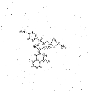 COc1ccc(S(=O)(=O)N(C[C@H](O)[C@H](Cc2ccccc2)NC(=O)O)CC(C)(C)CCN)cc1